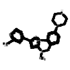 CN1Cc2ccc(N3CCNCC3)cc2-n2nc(-c3ccnc(C(F)(F)F)c3)cc21